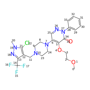 COCCOc1c(N2CCN(Cc3c(C(F)(F)F)nn(C)c3Cl)CC2)cnn(-c2ccccc2)c1=O